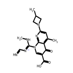 CN/C(=N\C=N)n1cc(C(=O)O)c(=O)c2c(C)cc(N3CC(C)C3)nc21